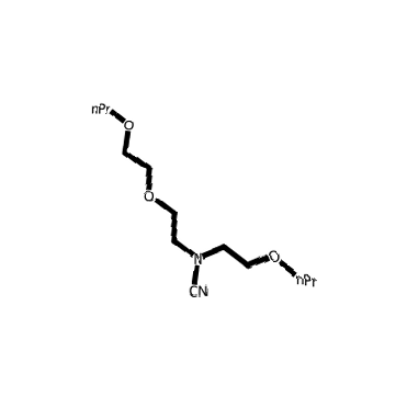 CCCOCCOCCN(C#N)CCOCCC